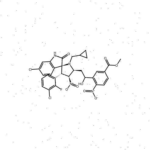 COC(=O)c1ccc([N+](=O)[O-])c(C(O)C[C@H]2[C@@H]([N+](=O)[O-])[C@H](c3cccc(Cl)c3F)[C@]3(C(=O)Nc4cc(Cl)ccc43)N2CC2CC2)c1